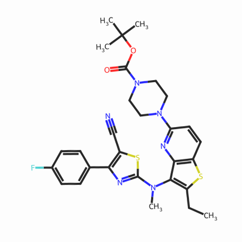 CCc1sc2ccc(N3CCN(C(=O)OC(C)(C)C)CC3)nc2c1N(C)c1nc(-c2ccc(F)cc2)c(C#N)s1